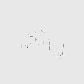 NC(=O)Oc1cc(-n2ncc(C(=O)Nc3cnc(-n4nccn4)c(Cl)c3)c2C(F)(F)F)c(Cl)cn1